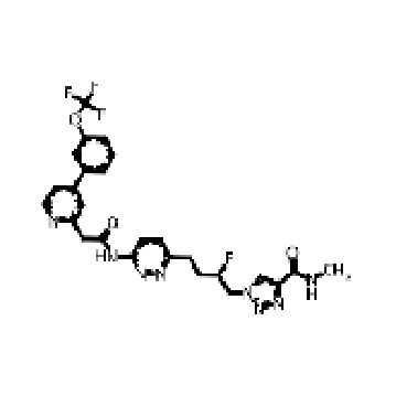 CNC(=O)c1cn(CC(F)CCc2ccc(NC(=O)Cc3cc(-c4cccc(OC(F)(F)F)c4)ccn3)nn2)nn1